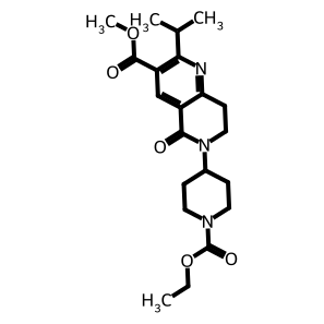 CCOC(=O)N1CCC(N2CCc3nc(C(C)C)c(C(=O)OC)cc3C2=O)CC1